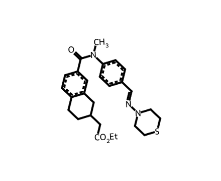 CCOC(=O)CC1CCc2ccc(C(=O)N(C)c3ccc(C=NN4CCSCC4)cc3)cc2C1